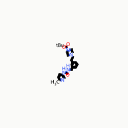 Cc1ccc(NC(=O)NCc2cccc(CCN3CCN(C(=O)OC(C)(C)C)CC3)c2)cn1